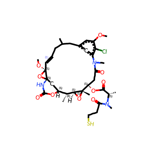 COc1cc2cc(c1Cl)N(C)C(=O)C[C@H](OC(=O)[C@H](C)N(C)C(=O)CCS)[C@]1(C)O[C@H]1[C@H](C)[C@@H]1C[C@]3(NC(=O)O1)O[C@@]3(OC)/C=C/CC(C)C2